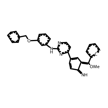 CO/C(=C1/C=C(c2ccnc(Nc3cccc(OCc4ccccc4)c3)n2)C=CC1=N)c1ccccc1